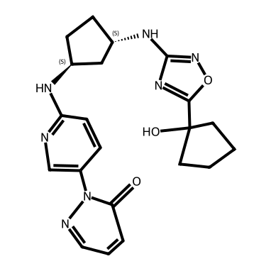 O=c1cccnn1-c1ccc(N[C@H]2CC[C@H](Nc3noc(C4(O)CCCC4)n3)C2)nc1